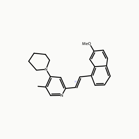 COc1ccc2cccc(/C=C/c3cc(N4CCCCC4)c(C)cn3)c2c1